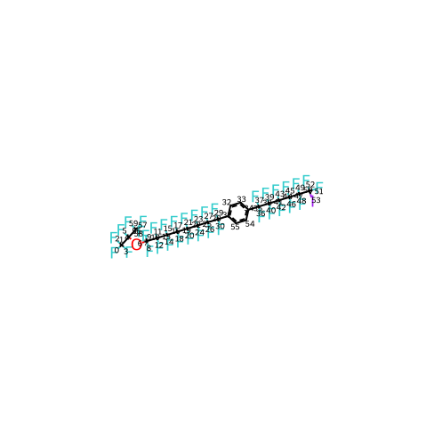 FC(F)(F)C(F)(OC(F)(F)C(F)(F)C(F)(F)C(F)(F)C(F)(F)C(F)(F)C(F)(F)C(F)(F)c1ccc(C(F)(F)C(F)(F)C(F)(F)C(F)(F)C(F)(F)C(F)(F)I)cc1)C(F)(F)F